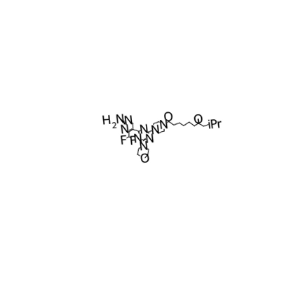 CC(C)CC(=O)CCCCCC(=O)N1CCN(c2nc(-c3cnc(N)nc3C(F)F)nc(N3CCOCC3)n2)CC1